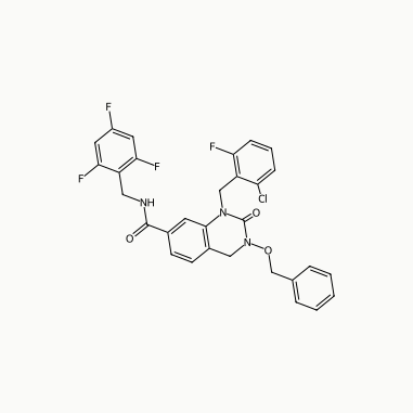 O=C(NCc1c(F)cc(F)cc1F)c1ccc2c(c1)N(Cc1c(F)cccc1Cl)C(=O)N(OCc1ccccc1)C2